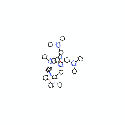 c1ccc(-c2cc(-c3cc(-c4nc(-c5ccccc5)nc(-c5ccccc5)n4)ccc3-n3c4ccc(-c5nc(-c6ccccc6)nc(-c6ccccc6)n5)cc4c4cc(-c5nc(-c6ccccc6)nc(-c6ccccc6)n5)ccc43)nc(-c3cccc(-c4cc5c6c(c4)N(c4ccccc4)c4ccccc4B6c4ccccc4N5c4ccccc4)c3)n2)cc1